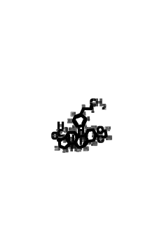 C=CCc1ccc([C@H]2C[C@]3(C)C(=O)CC[C@H]3[C@@H]3CC=C4CC5(CC[C@@H]4[C@H]32)OCCO5)cc1